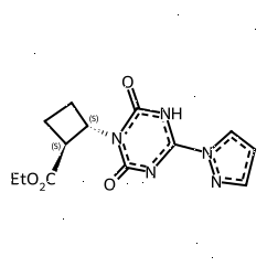 CCOC(=O)[C@H]1CC[C@@H]1n1c(=O)nc(-n2cccn2)[nH]c1=O